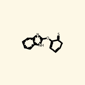 S=C1CC=CC=C1Oc1nc2ccccc2[nH]1